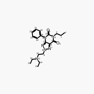 CCCn1c(=O)c2nn(CCN(CC)CC)nc2n(-c2ccccc2)c1=O